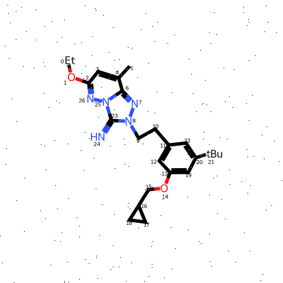 CCOc1cc(C)c2nn(CCc3cc(OCC4CC4)cc(C(C)(C)C)c3)c(=N)n2n1